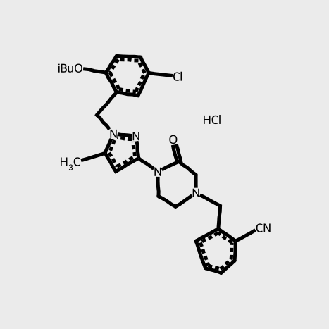 Cc1cc(N2CCN(Cc3ccccc3C#N)CC2=O)nn1Cc1cc(Cl)ccc1OCC(C)C.Cl